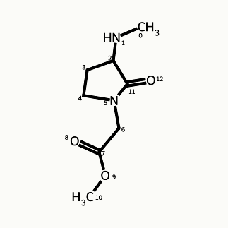 CNC1CCN(CC(=O)OC)C1=O